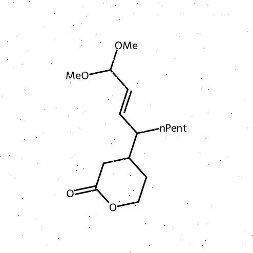 CCCCCC(/C=C/C(OC)OC)C1CCOC(=O)C1